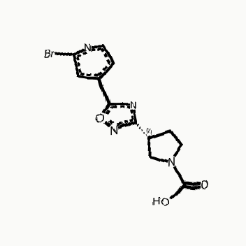 O=C(O)N1CC[C@@H](c2noc(-c3ccnc(Br)c3)n2)C1